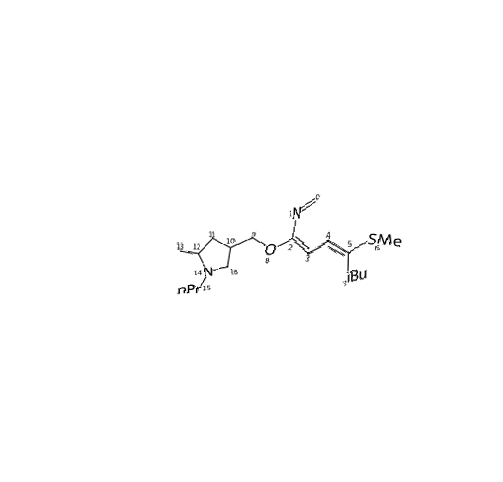 C=N/C(=C\C=C(\SC)C(C)CC)OCC1CC(C)N(CCC)C1